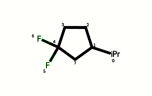 CC(C)C1CCC(F)(F)C1